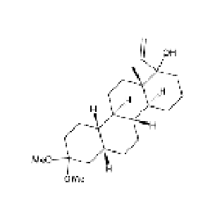 C=CC1(O)CCC[C@H]2[C@@H]3CC[C@@H]4CC(OC)(OC)CC[C@@H]4[C@H]3CC[C@@]21C